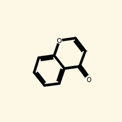 O=c1[c]coc2ccccc12